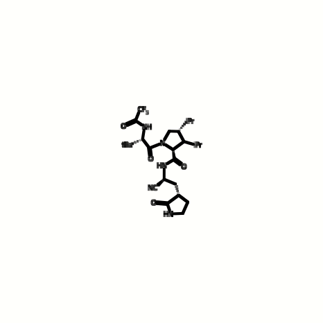 CC(C)C1[C@@H](C(C)C)CN(C(=O)[C@@H](NC(=O)C(F)(F)F)C(C)(C)C)[C@@H]1C(=O)N[C@H](C#N)C[C@@H]1CCNC1=O